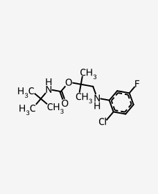 CC(C)(C)NC(=O)OC(C)(C)CNc1cc(F)ccc1Cl